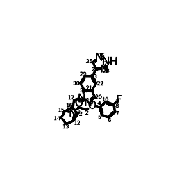 O=C(COc1cccc(F)c1)N1C2CCC1C(Cn1ncc3cc(-c4cn[nH]n4)ccc31)C2